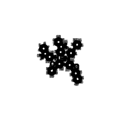 CC1(C)c2ccccc2-c2cc(N3c4cc5c(cc4Bc4c(-c6cc7c(cc6Nc6ccc(-c8ccccc8)cc6)oc6cc8ccccc8cc67)cc6c(oc7ccccc76)c43)C(C)(C)c3ccccc3-5)ccc21